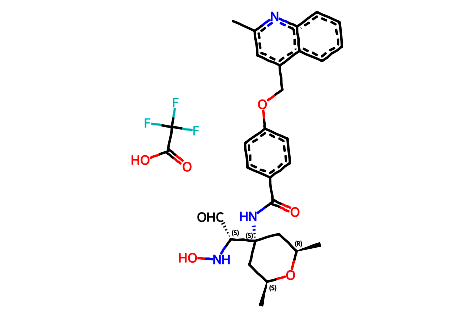 Cc1cc(COc2ccc(C(=O)N[C@]3([C@@H](C=O)NO)C[C@@H](C)O[C@@H](C)C3)cc2)c2ccccc2n1.O=C(O)C(F)(F)F